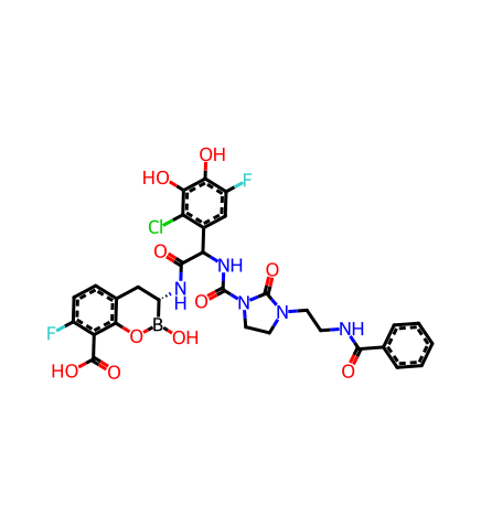 O=C(NCCN1CCN(C(=O)NC(C(=O)N[C@H]2Cc3ccc(F)c(C(=O)O)c3OB2O)c2cc(F)c(O)c(O)c2Cl)C1=O)c1ccccc1